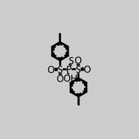 Cc1ccc(S(=O)(=O)P(O)(=S)S(=O)(=O)c2ccc(C)cc2)cc1